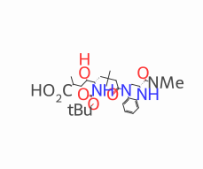 CNC(=O)[C@H]1CN(C(=O)CC(C)(C)C[C@H](NC(=O)OC(C)(C)C)[C@@H](O)C[C@@H](C)C(=O)O)c2ccccc2N1